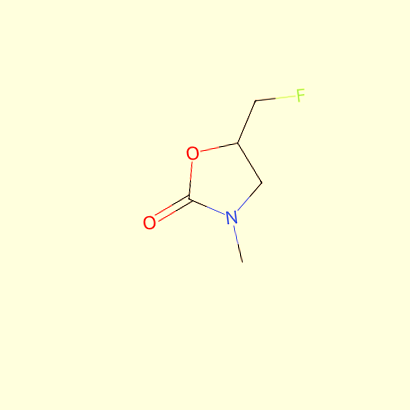 CN1CC(CF)OC1=O